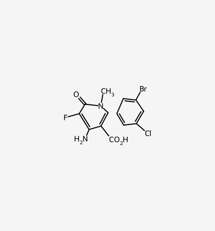 Clc1cccc(Br)c1.Cn1cc(C(=O)O)c(N)c(F)c1=O